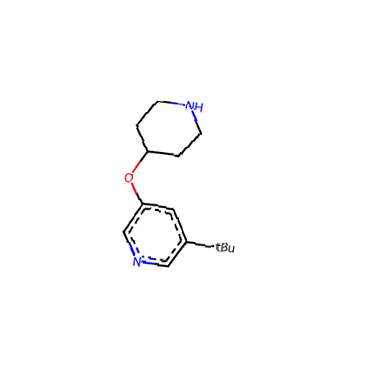 CC(C)(C)c1cncc(OC2CCNCC2)c1